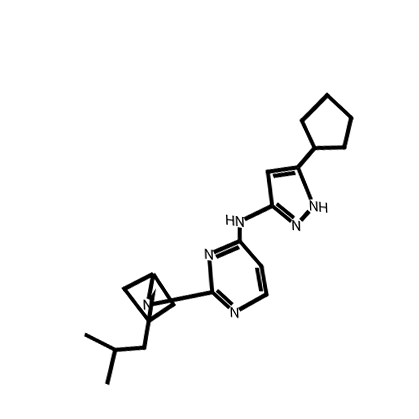 CC(C)CC12CC(C1)N(c1nccc(Nc3cc(C4CCCC4)[nH]n3)n1)C2